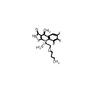 C=C1c2cc(F)c(F)c(F)c2N([C@@H](C)COCCCC)c2s[nH]c(=O)c21